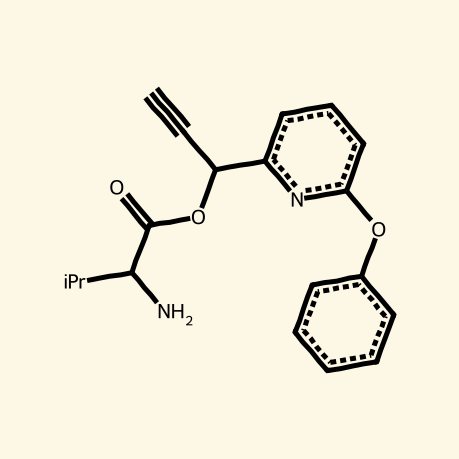 C#CC(OC(=O)C(N)C(C)C)c1cccc(Oc2ccccc2)n1